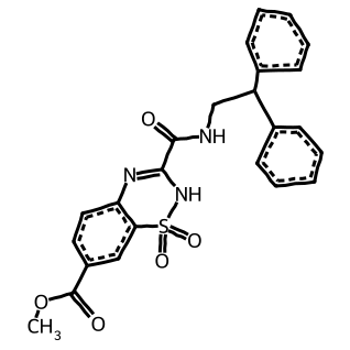 COC(=O)c1ccc2c(c1)S(=O)(=O)NC(C(=O)NCC(c1ccccc1)c1ccccc1)=N2